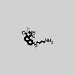 CCN(CCCCN)c1ccc2ccc3c(=O)[nH][nH]c(=O)c3c2c1